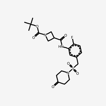 CC(C)(C)OC(=O)N1CC(C(=O)Nc2cc(CS(=O)(=O)N3CCC(=O)CC3)ccc2F)C1